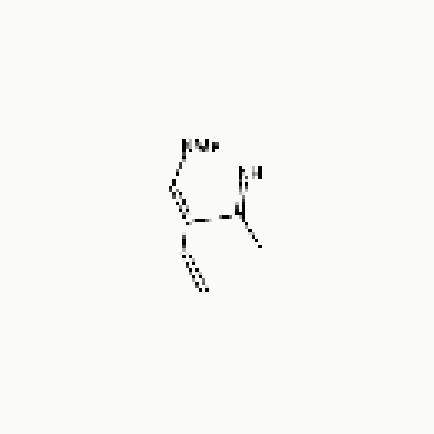 C=C/C(=C/NC)C(C)=N